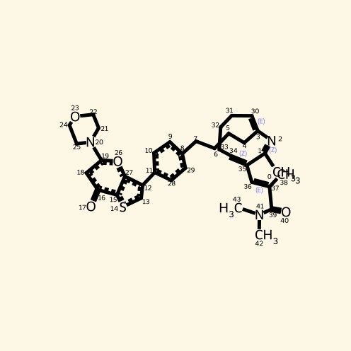 C/C1=N/C(CCCCc2ccc(-c3csc4c(=O)cc(N5CCOCC5)oc34)cc2)=C/CCC/C=C1/C=C(\C)C(=O)N(C)C